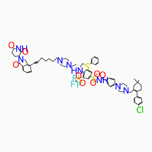 CC1(C)CCC(c2ccc(Cl)cc2)=C(CN2CCN(c3ccc(C(=O)NS(=O)(=O)c4ccc(N[C@H](CCN5CCN(CCCCCC#Cc6cccc7c6CN(C6CCC(=O)NC6=O)C7=O)CC5)CSc5ccccc5)c(S(=O)(=O)C(F)(F)F)c4)cc3)CC2)C1